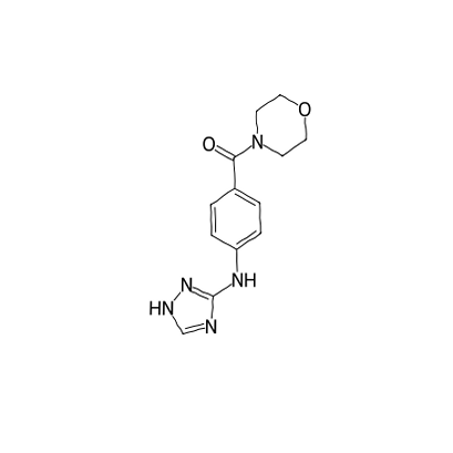 O=C(c1ccc(Nc2nc[nH]n2)cc1)N1CCOCC1